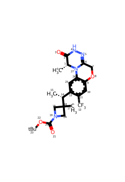 C[C@@H]1C(=O)NN=C2COc3cc(C(F)(F)F)c([C@@H](C)C4(C)CN(C(=O)OC(C)(C)C)C4)cc3N21